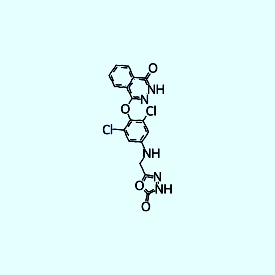 O=c1[nH]nc(CNc2cc(Cl)c(Oc3n[nH]c(=O)c4ccccc34)c(Cl)c2)o1